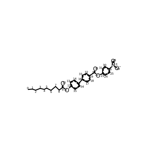 CCCCCCCCCC(=O)Oc1ccc(-c2ccc(C(=O)Oc3ccc([N+](=O)[O-])cc3)cc2)cc1